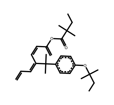 C=C/C=C(\C=C/C(=C)OC(=O)C(C)(C)CC)C(C)(C)c1ccc(OC(C)(C)CC)cc1